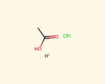 CC(=O)O.Cl.[H+]